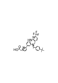 CC(C)(C)c1ccc(SN2Cc3ccc(C(F)(F)F)nc3Nc3ccc(-c4ccn(CC(=O)O)n4)cc32)cc1